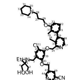 CCC(CO)(CO)NCc1cc(Cl)c(OCc2nccc(-c3cccc(OCCCN4CCCCC4)c3C)c2C)cc1OCc1cncc(C#N)c1